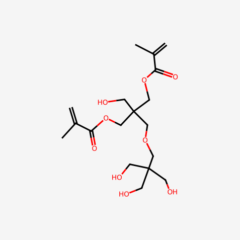 C=C(C)C(=O)OCC(CO)(COCC(CO)(CO)CO)COC(=O)C(=C)C